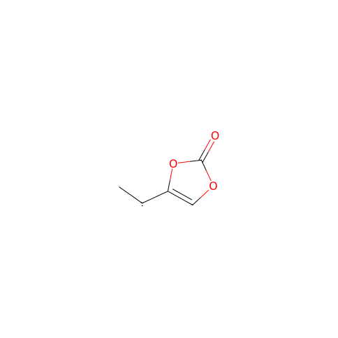 C[CH]c1coc(=O)o1